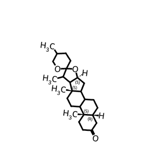 CC1CCC2(OC1)O[C@H]1CC3C4CC[C@@H]5CC(=O)CC[C@]5(C)C4CC[C@]3(C)C1C2C